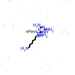 CCCCCN(NCCCCCCN)C1(N)N=C(N)N=C(N)N1